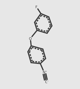 [C-]#[N+]c1ccc(Oc2cccc(F)c2)cc1